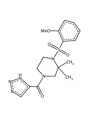 COc1ccccc1S(=O)(=O)N1CCN(C(=O)c2cnn[nH]2)CC1(C)C